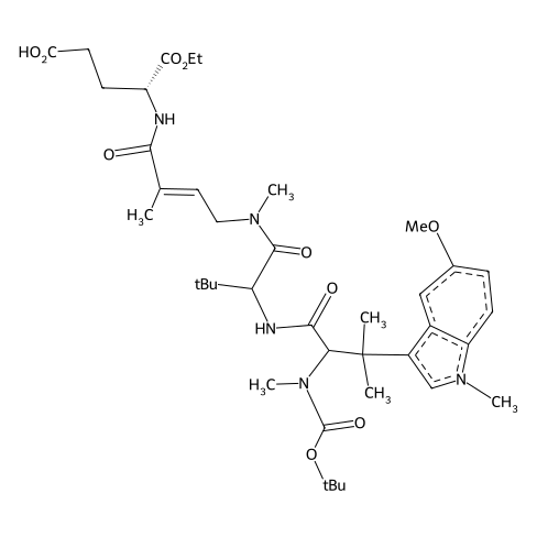 CCOC(=O)[C@@H](CCC(=O)O)NC(=O)/C(C)=C/CN(C)C(=O)C(NC(=O)C(N(C)C(=O)OC(C)(C)C)C(C)(C)c1cn(C)c2ccc(OC)cc12)C(C)(C)C